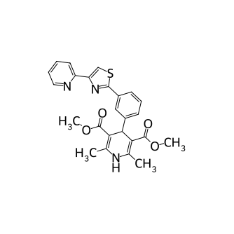 COC(=O)C1=C(C)NC(C)=C(C(=O)OC)C1c1cccc(-c2nc(-c3ccccn3)cs2)c1